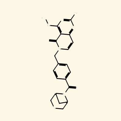 CCCCNc1nc(N)nc2ccn(Cc3ccc(C(=O)N4C5CNCC4C5)cc3)c(=O)c12